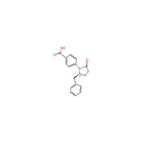 O=C(O)c1ccc(N2C(=O)OC[C@H]2Cc2ccccc2)cc1